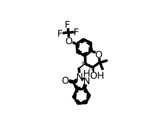 CC1(C)Oc2ccc(OC(F)(F)F)cc2[C@H](Cn2[nH]c3ccccc3c2=O)[C@@H]1O